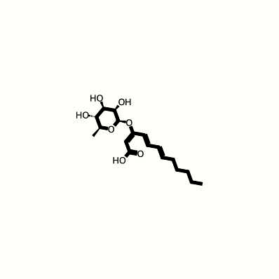 CCCCCC=CC=CC(=CC(=O)O)O[C@H]1O[C@@H](C)[C@H](O)[C@@H](O)[C@H]1O